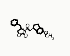 COc1ccc2c(c1)CC[C@@H]2CC(=O)N1C(=O)OCC1Cc1ccccc1